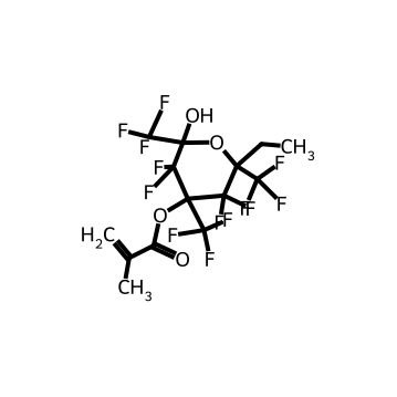 C=C(C)C(=O)OC1(C(F)(F)F)C(F)(F)C(O)(C(F)(F)F)OC(CC)(C(F)(F)F)C1(F)F